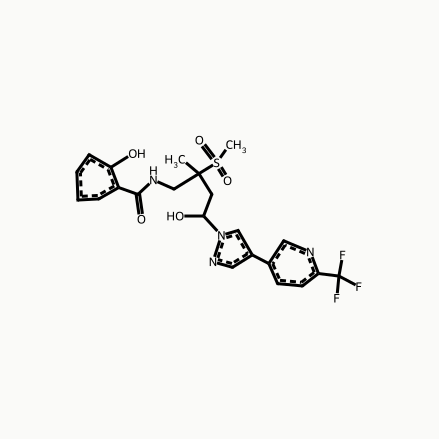 CC(CNC(=O)c1ccccc1O)(CC(O)n1cc(-c2ccc(C(F)(F)F)nc2)cn1)S(C)(=O)=O